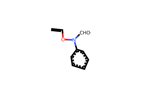 C=CON([C]=O)c1ccccc1